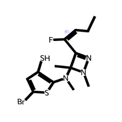 CC/C=C(/F)C1=NN(C)C1(C)N(C)c1sc(Br)cc1S